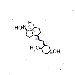 C=C1CC[C@@H](O)C/C1=C/C=C1\CCC[C@]2(C)C(=NO)CCC12